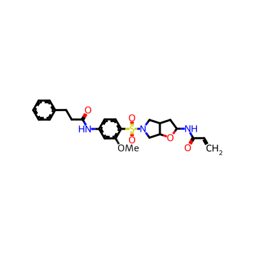 C=CC(=O)NC1CC2CN(S(=O)(=O)c3ccc(NC(=O)CCc4ccccc4)cc3OC)CC2O1